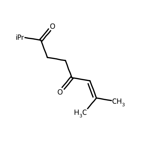 CC(C)=CC(=O)CCC(=O)C(C)C